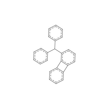 c1ccc(C(c2ccccc2)c2cccc3c2-c2ccccc2-3)cc1